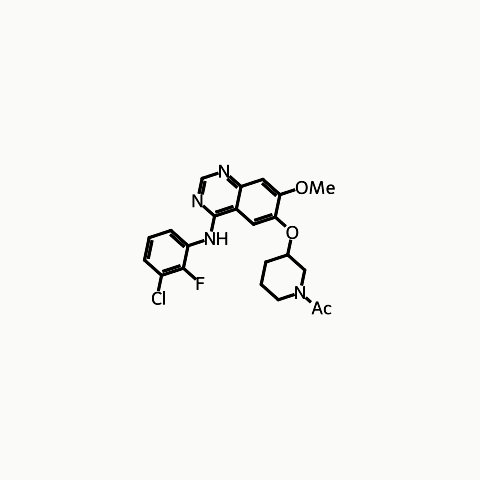 COc1cc2ncnc(Nc3cccc(Cl)c3F)c2cc1OC1CCCN(C(C)=O)C1